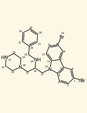 Brc1ccc2c(c1)c1cc(Br)ccc1n2CC(CN1CCNCC1)NCc1ccccc1